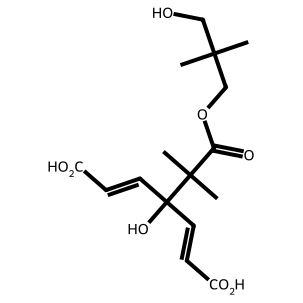 CC(C)(CO)COC(=O)C(C)(C)C(O)(C=CC(=O)O)C=CC(=O)O